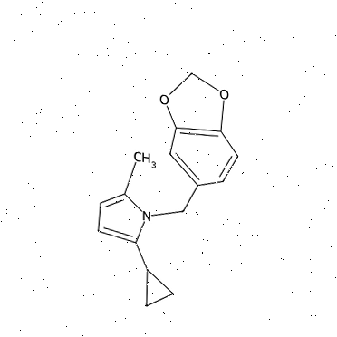 Cc1ccc(C2CC2)n1Cc1ccc2c(c1)OCO2